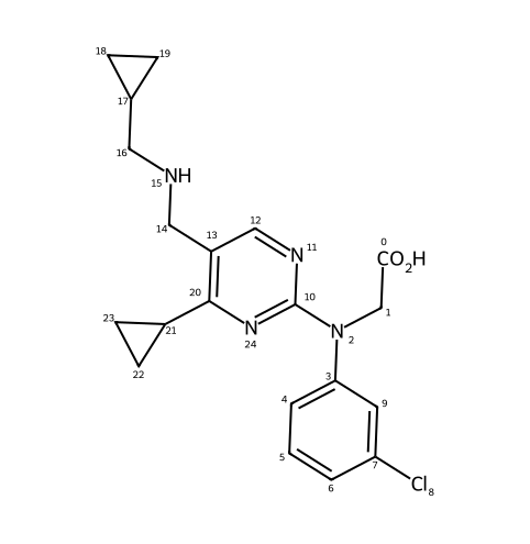 O=C(O)CN(c1cccc(Cl)c1)c1ncc(CNCC2CC2)c(C2CC2)n1